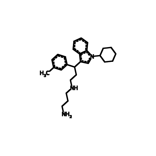 Cc1cccc(C(CCNCCCN)c2cn(C3CCCCC3)c3ccccc23)c1